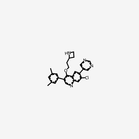 Cc1cc(C)cc(-c2cnc3cc(Cl)c(-c4cncnc4)cc3c2OCCC2CCN2)c1